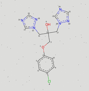 OC(COc1ccc(Cl)cc1)(Cn1cncn1)Cn1cncn1